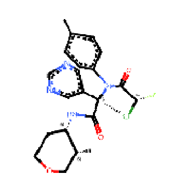 Cc1ccc(N(C(=O)[C@H](F)Cl)[C@@](C)(C(=O)N[C@H]2CCOC[C@H]2C)c2cncnc2)cc1